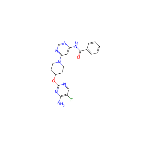 Nc1nc(OC2CCN(c3cc(NC(=O)c4ccccc4)ncn3)CC2)ncc1F